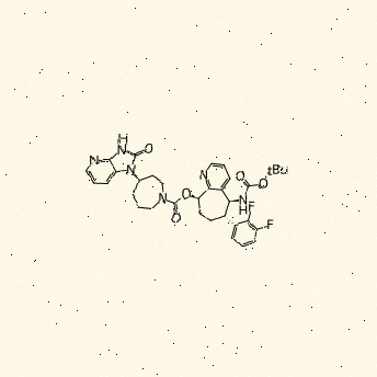 CC(C)(C)OC(=O)N[C@@H]1c2cccnc2[C@H](OC(=O)N2CCCC(n3c(=O)[nH]c4ncccc43)CC2)CC[C@H]1c1cccc(F)c1F